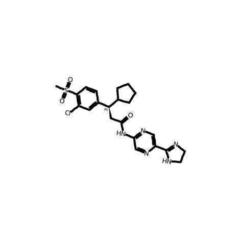 CS(=O)(=O)c1ccc([C@H](CC(=O)Nc2cnc(C3=NCCN3)cn2)C2CCCC2)cc1Cl